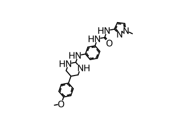 COc1ccc(C2CNC(Nc3cccc(NC(=O)Nc4ccn(C)n4)c3)NC2)cc1